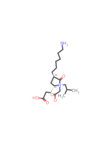 CC(C)C[N+]1(CC(=O)[O-])C(=O)[C@H](CCCCCCN)C[C@H]1CCC(=O)O